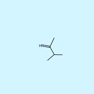 [CH2]C(C)C(C)=N